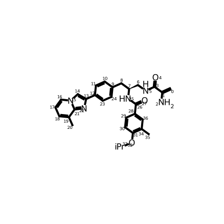 C=C(N)C(=O)NC[C@H](Cc1ccc(-c2cn3cccc(C)c3n2)cc1)NC(=O)c1ccc(OC(C)C)c(C)c1